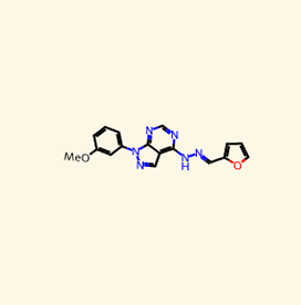 COc1cccc(-n2ncc3c(N/N=C/c4ccco4)ncnc32)c1